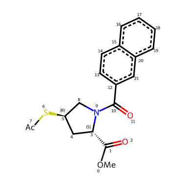 COC(=O)[C@@H]1C[C@@H](SC(C)=O)CN1C(=O)c1ccc2ccccc2c1